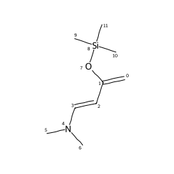 C=C(/C=C/N(C)C)O[Si](C)(C)C